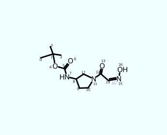 CC(C)(C)OC(=O)NC1CCN(C(=O)/C=N\O)C1